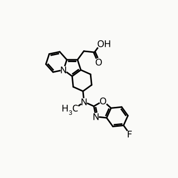 CN(c1nc2cc(F)ccc2o1)C1CCc2c(CC(=O)O)c3ccccn3c2C1